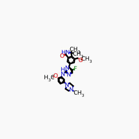 COCc1cc(-c2nc(Nc3cc(N4CCN(C)CC4)ccc3OC)ncc2F)cc2c1C(C)(C)NC2=O